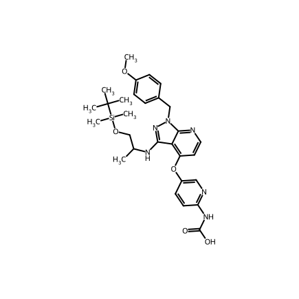 COc1ccc(Cn2nc(NC(C)CO[Si](C)(C)C(C)(C)C)c3c(Oc4ccc(NC(=O)O)nc4)ccnc32)cc1